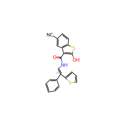 N#Cc1ccc2sc(O)c(C(=O)N/C=C(/c3ccccc3)c3cccs3)c2c1